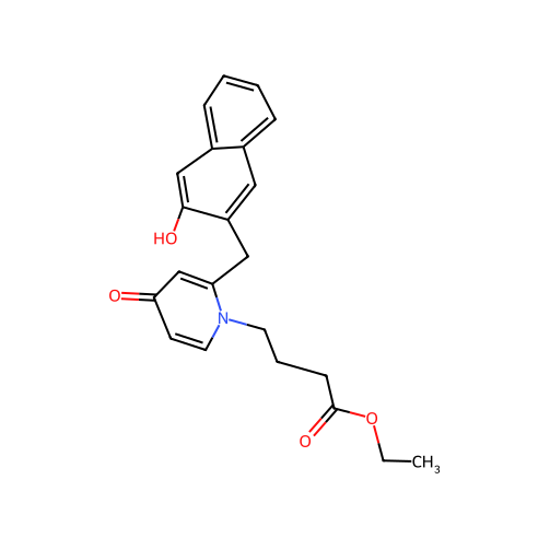 CCOC(=O)CCCn1ccc(=O)cc1Cc1cc2ccccc2cc1O